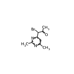 CC(=O)C(Br)c1cc(C)nc(C)n1